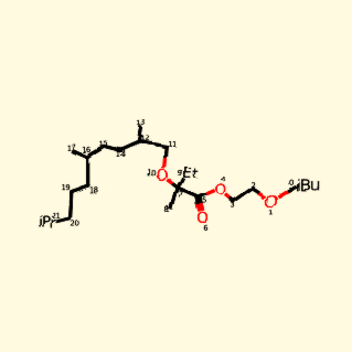 CCC(C)OCCOC(=O)C(C)(CC)OCC(C)CCC(C)CCCC(C)C